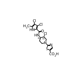 Cc1[nH]c(C(=O)N[C@@H]2CCN(c3ncc(C(=O)O)s3)C[C@@H]2Cl)c(Cl)c1Cl